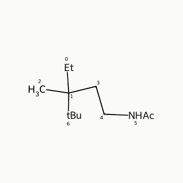 CCC(C)(CCNC(C)=O)C(C)(C)C